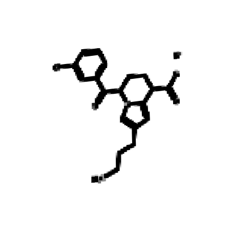 CCCCc1cc2n(c1)C(C(=O)c1cccc(Cl)c1)CCC2C(=O)[O-].[K+]